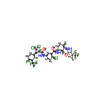 O=C(CC1(C(F)(F)F)CC1)Nc1c(F)ccc(NC(=O)c2cc(NC(=O)[C@H]3[C@H](c4ccc(F)c(C(F)(F)F)c4)C3(Cl)Cl)ccc2Cl)c1F